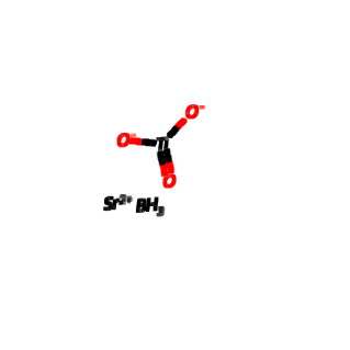 B.[O]=[Ti]([O-])[O-].[Sr+2]